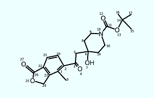 Cc1c(C(=O)CC2(O)CCN(C(=O)OC(C)(C)C)CC2)ccc2c1COC2=O